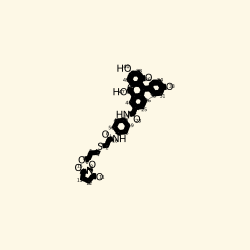 O=C(CSCCC(=O)ON1C(=O)CCC1=O)NC1CCC(NC(=O)c2ccc(-c3c4ccc(=O)cc-4oc4cc(O)ccc34)c(C(=O)O)c2)CC1